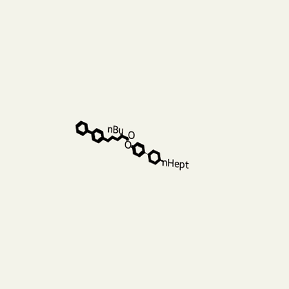 CCCCCCC[C@H]1CC[C@H](c2ccc(OC(=O)C(CCCC)CCCc3ccc(-c4ccccc4)cc3)cc2)CC1